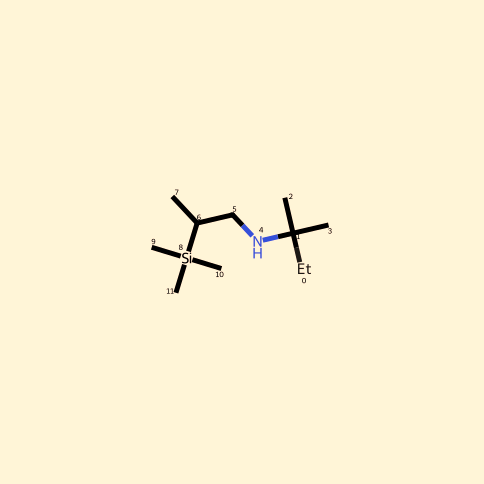 CCC(C)(C)NCC(C)[Si](C)(C)C